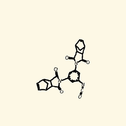 O=C=Nc1cc(N2C(=O)C3C4C=CC(C4)C3C2=O)cc(N2C(=O)C3C4C=CC(C4)C3C2=O)c1